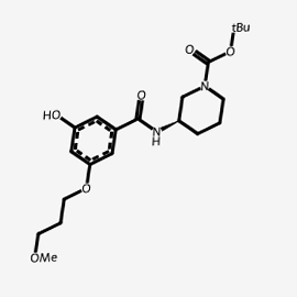 COCCCOc1cc(O)cc(C(=O)N[C@@H]2CCCN(C(=O)OC(C)(C)C)C2)c1